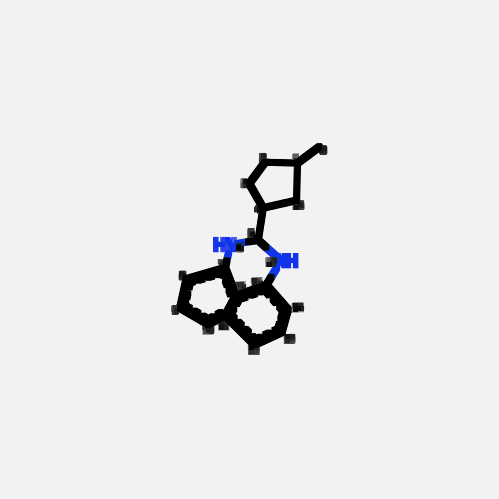 CC1CCC(C2Nc3cccc4cccc(c34)N2)C1